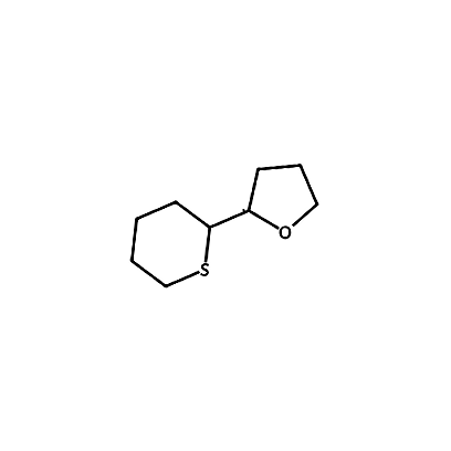 C1CCC([C]2CCCO2)SC1